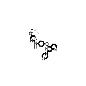 COc1cnc(NC2CCC(Oc3nc(N4CCOCC4)cc4ncccc34)CC2)nc1